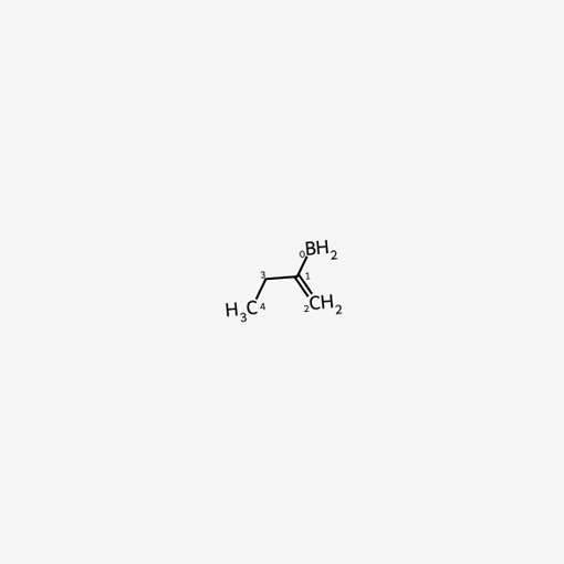 BC(=C)CC